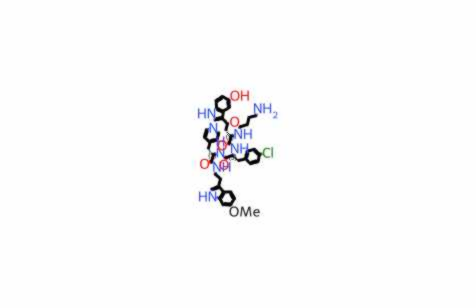 COc1ccc2c(CCNC(=O)[C@H](Cc3ccncc3)NC(=O)[C@H](Cc3ccc(Cl)cc3)NC(=O)[C@H](CCc3c[nH]c4ccc(O)cc34)NC(=O)CCCN)c[nH]c2c1